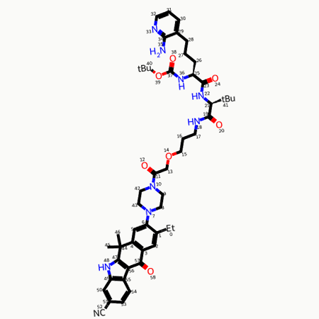 CCc1cc2c(cc1N1CCN(C(=O)COCCCNC(=O)[C@@H](NC(=O)[C@H](CCCc3cccnc3N)NC(=O)OC(C)(C)C)C(C)(C)C)CC1)C(C)(C)c1[nH]c3cc(C#N)ccc3c1C2=O